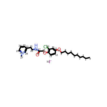 CCCCCCCCCCOc1ccc(OCC(=O)NCCc2ccc[n+](C)c2)c(Cl)c1.[I-]